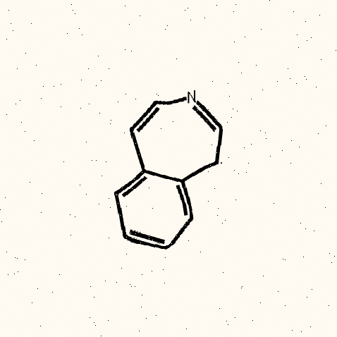 [CH]1C=NC=Cc2ccccc21